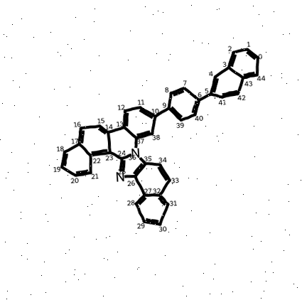 c1ccc2cc(-c3ccc(-c4ccc5c6ccc7ccccc7c6c6nc7c8ccccc8ccc7n6c5c4)cc3)ccc2c1